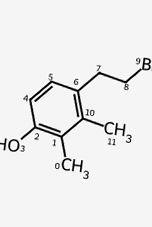 Cc1c(O)ccc(CCBr)c1C